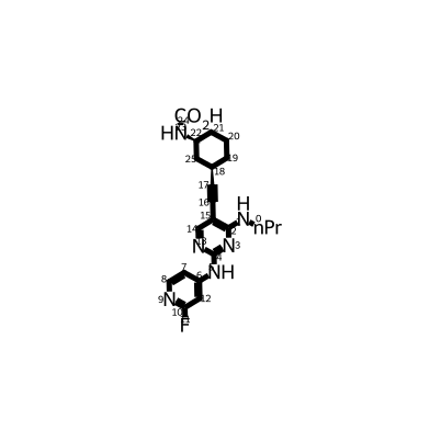 CCCNc1nc(Nc2ccnc(F)c2)ncc1C#C[C@@H]1CCC[C@H](NC(=O)O)C1